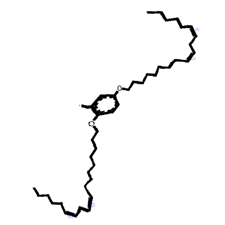 [CH2]c1cc(OCCCCCCCC/C=C\C/C=C\CCCCC)ccc1OCCCCCCCC/C=C\C/C=C\CCCCC